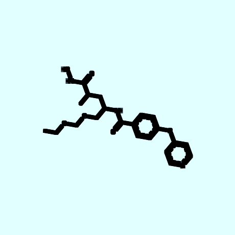 CCOCOCC(CC(C)C(=O)NO)NC(=O)c1ccc(Oc2ccncc2)cc1